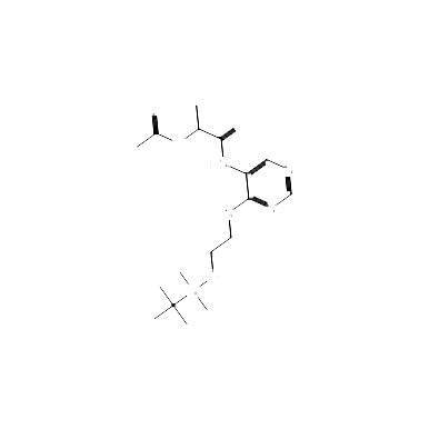 CC(=O)OC(C)C(=O)Nc1cncnc1NCCO[Si](C)(C)C(C)(C)C